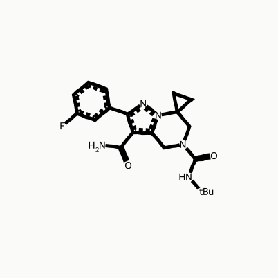 CC(C)(C)NC(=O)N1Cc2c(C(N)=O)c(-c3cccc(F)c3)nn2C2(CC2)C1